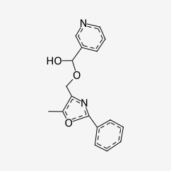 Cc1oc(-c2ccccc2)nc1COC(O)c1cccnc1